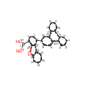 OB(O)c1ccc(-c2ccc3c4ccccc4c4ccccc4c3c2)c2c1oc1ccccc12